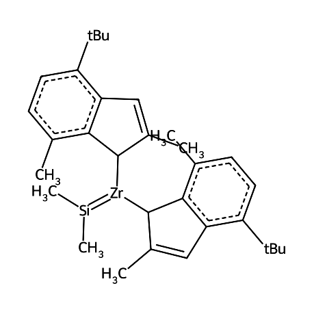 CC1=Cc2c(C(C)(C)C)ccc(C)c2[CH]1[Zr]([CH]1C(C)=Cc2c(C(C)(C)C)ccc(C)c21)=[Si](C)C